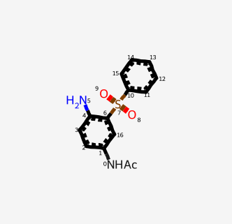 CC(=O)Nc1ccc(N)c(S(=O)(=O)c2ccccc2)c1